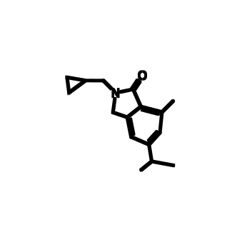 Cc1cc(C(C)C)cc2c1C(=O)N(CC1CC1)C2